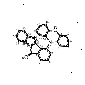 O=C1c2cccc(N3c4ccccc4Oc4ccccc43)c2-c2nc3ccccc3n21